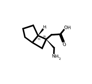 NC[C@@]1(CC(=O)O)CC2CCC[C@@H]21